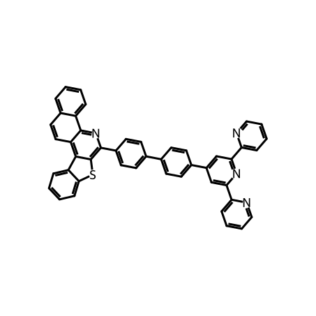 c1ccc(-c2cc(-c3ccc(-c4ccc(-c5nc6c7ccccc7ccc6c6c5sc5ccccc56)cc4)cc3)cc(-c3ccccn3)n2)nc1